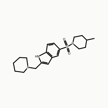 CC1CCN(S(=O)(=O)c2ccc3[nH]c(CN4CCCCC4)cc3c2)CC1